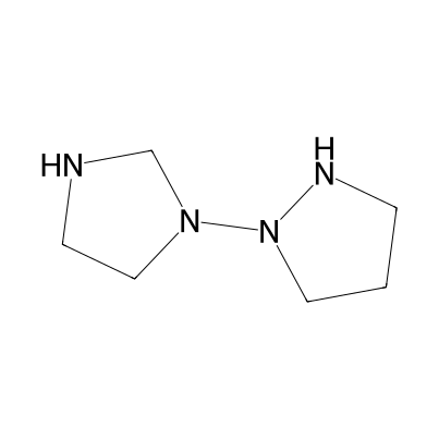 C1CNN(N2CCNC2)C1